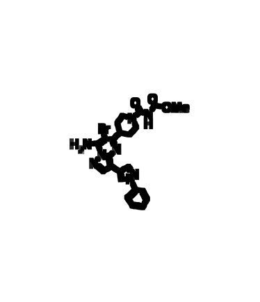 COC(=O)NC(=O)N1CCC(c2nc3c(-c4cnn(-c5ccccc5)c4)cnn3c(N)c2Br)CC1